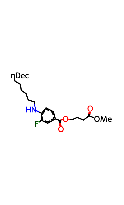 CCCCCCCCCCCCCCCCNc1ccc(C(=O)OCCCC(=O)OC)cc1F